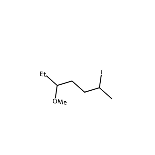 CCC(CCC(C)I)OC